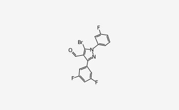 O=Cc1c(-c2cc(F)cc(F)c2)nn(-c2cccc(F)c2)c1Br